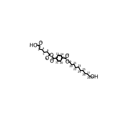 O=C(O)CCCCC(=O)OC(=O)c1ccc(C(=O)OCCCCCCCCCCO)cc1